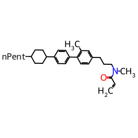 C=CC(=O)N(C)CCCc1ccc(-c2ccc(C3CCC(CCCCC)CC3)cc2)c(C)c1